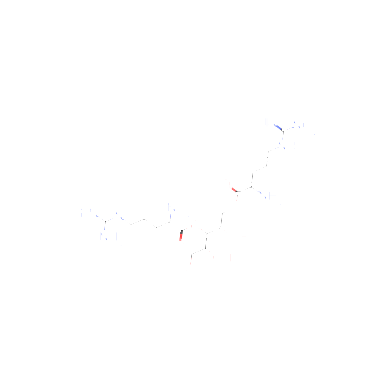 N=C(N)NCCCC(N)C(=O)OCC(O)C(OC(=O)C(N)CCCNC(N)N)C(O)CO